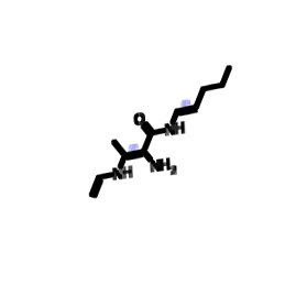 C=CN/C(C)=C(\N)C(=O)N/C=C/CCC